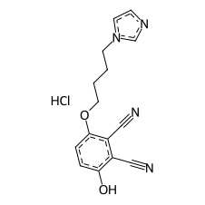 Cl.N#Cc1c(O)ccc(OCCCCn2ccnc2)c1C#N